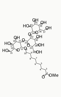 COC(=O)CCCCCCCCOC1OC(CO)C(O)C(O)C1OC1OC(CO)C(O)C(O)C1OC1OC(CO)C(O)C(O)C1O